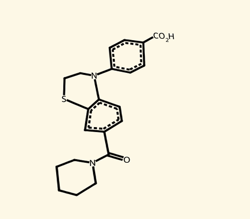 O=C(O)c1ccc(N2CCSc3cc(C(=O)N4CCCCC4)ccc32)cc1